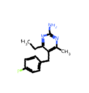 CCc1nc(N)nc(C)c1Cc1ccc(F)cc1